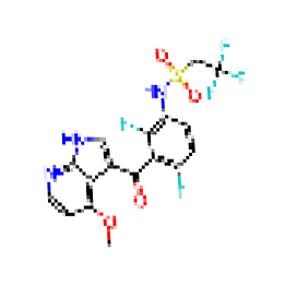 COc1ccnc2[nH]cc(C(=O)c3c(F)ccc(NS(=O)(=O)CC(F)(F)F)c3F)c12